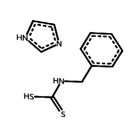 S=C(S)NCc1ccccc1.c1c[nH]cn1